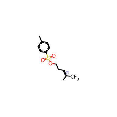 C/C(=C\CCOS(=O)(=O)c1ccc(C)cc1)C(F)(F)F